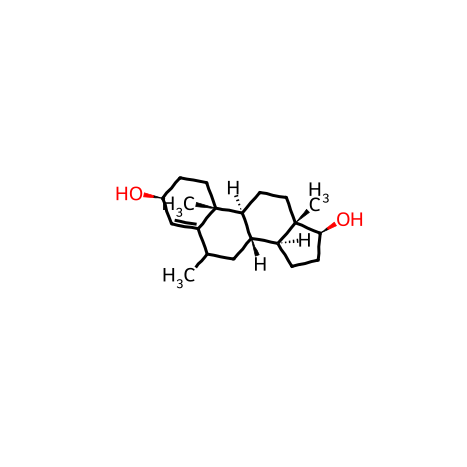 CC1C[C@H]2[C@@H]3CC[C@H](O)[C@@]3(C)CC[C@@H]2[C@@]2(C)CC[C@H](O)C=C12